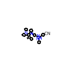 CC1(C)c2ccccc2-c2c1c1c3ccccc3n(-c3ccccc3)c1c1c3ccccc3n(-c3ccc(-c4nc(-c5ccccc5)nc(-c5ccc(C#N)cc5)n4)cc3)c21